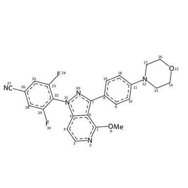 COc1nccc2c1c(-c1ccc(N3CCOCC3)cc1)nn2-c1c(F)cc(C#N)cc1F